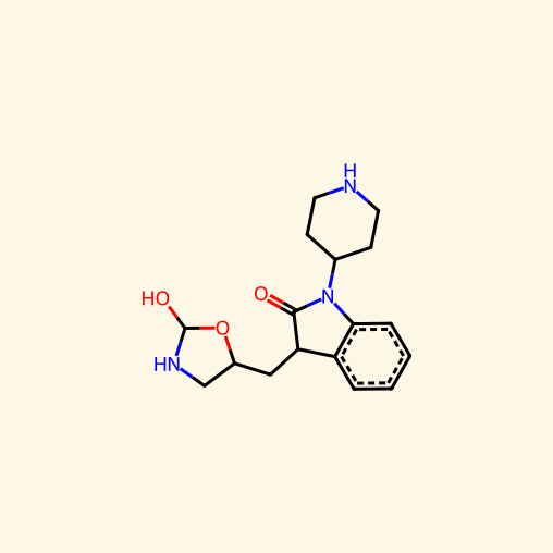 O=C1C(CC2CNC(O)O2)c2ccccc2N1C1CCNCC1